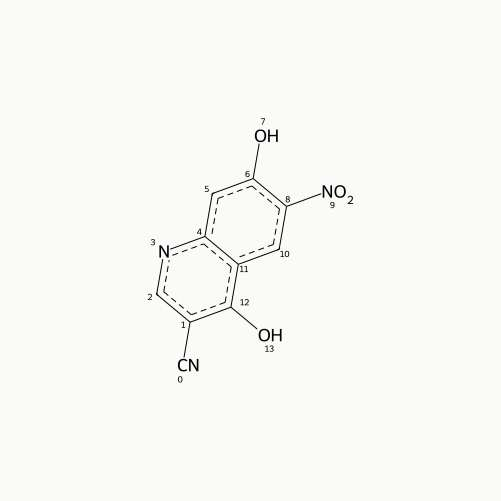 N#Cc1cnc2cc(O)c([N+](=O)[O-])cc2c1O